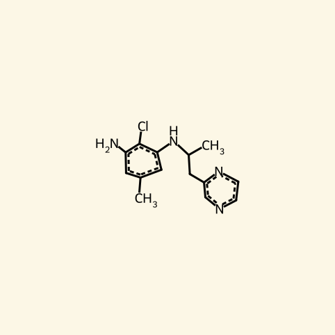 Cc1cc(N)c(Cl)c(NC(C)Cc2cnccn2)c1